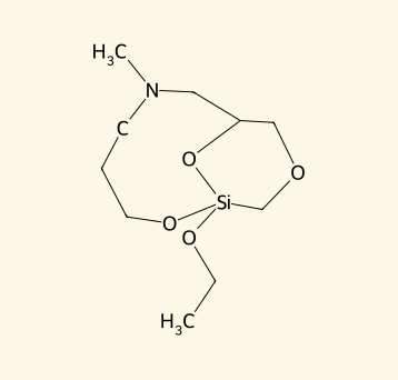 CCO[Si]12COCC(CN(C)CCCO1)O2